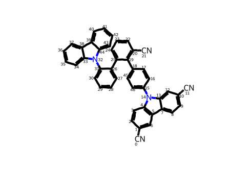 N#Cc1ccc2c(c1)c1ccc(C#N)cc1n2-c1ccc(-c2c(C#N)cccc2-c2ccccc2-n2c3ccccc3c3ccccc32)cc1